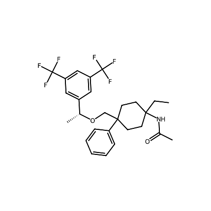 CCC1(NC(C)=O)CCC(CO[C@H](C)c2cc(C(F)(F)F)cc(C(F)(F)F)c2)(c2ccccc2)CC1